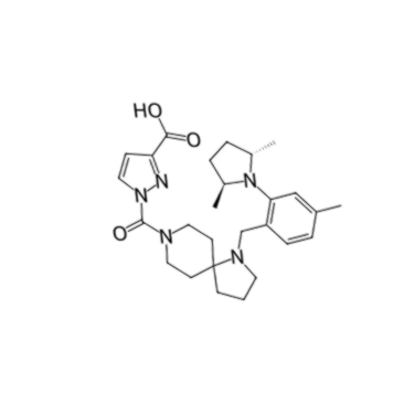 Cc1ccc(CN2CCCC23CCN(C(=O)n2ccc(C(=O)O)n2)CC3)c(N2[C@@H](C)CC[C@@H]2C)c1